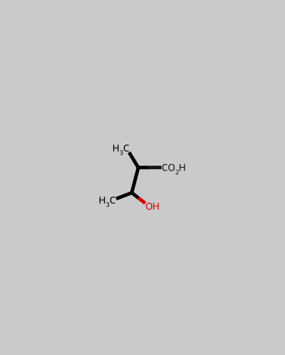 CC(O)C(C)C(=O)O